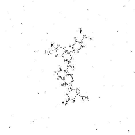 CC1CN(c2ccc3c(C(=O)NCC(c4cnc(C(F)F)nc4)N4CCC(C)(F)CC4)cccc3n2)CC(C)O1